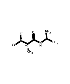 CCN(C(C)C)[C@@H](C)C(=O)NC(C)N